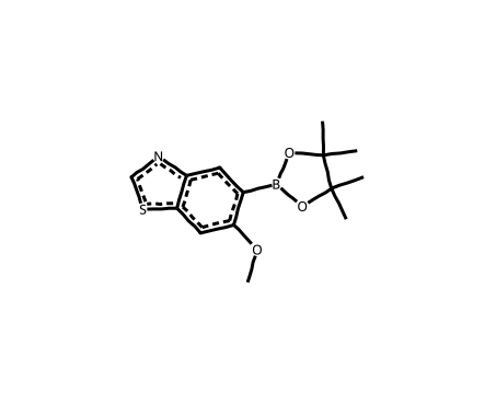 COc1cc2scnc2cc1B1OC(C)(C)C(C)(C)O1